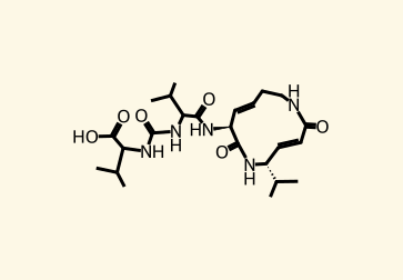 CC(C)C(NC(=O)NC(C(=O)N[C@H]1/C=C/CCNC(=O)/C=C/[C@H](C(C)C)NC1=O)C(C)C)C(=O)O